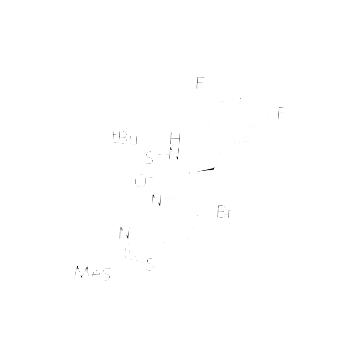 CSc1nc2nc([C@H](Cc3cc(F)cc(F)c3)N[S+]([O-])C(C)(C)C)c(Br)cc2s1